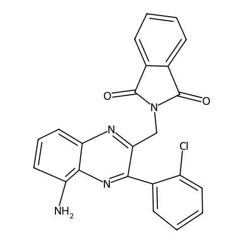 Nc1cccc2nc(CN3C(=O)c4ccccc4C3=O)c(-c3ccccc3Cl)nc12